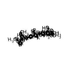 COC(=O)N[C@H](C(=O)N1C[C@@H](OC)C[C@H]1c1nc(-c2ccc(-c3cc(F)c(NC(=O)c4ccc(N5CCN(C(=O)C(C)(C)C)[C@@H](CO)C5)nc4)cc3OC(F)(F)F)cc2)c[nH]1)C1CCOCC1